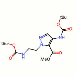 COC(=O)c1c(NC(=O)OC(C)(C)C)cnn1CCNC(=O)OC(C)(C)C